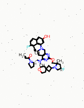 C#Cc1c(F)ccc2cc(O)cc(N3CCc4c(nc(OC[C@]5(C)C[C@@H](F)CN5C5CC6(CCOCC6)C5)nc4N(C)C[C@@H]4CCCN4C(=O)C=C)C3)c12